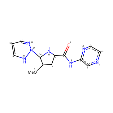 COC1CC(C(=O)Nc2cnccn2)NC1N1N=CC=CN1